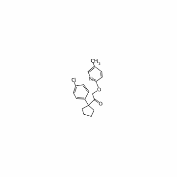 Cc1ccc(OCC(=O)C2(c3ccc(Cl)cc3)CCCC2)nc1